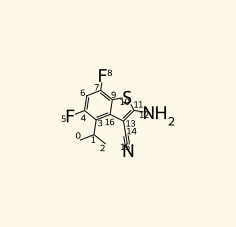 CC(C)c1c(F)cc(F)c2sc(N)c(C#N)c12